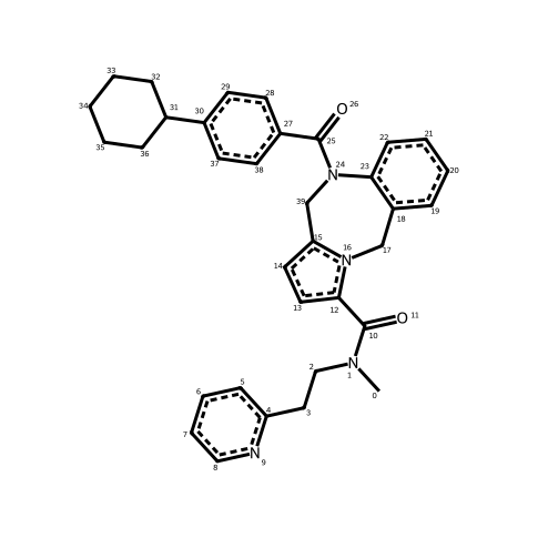 CN(CCc1ccccn1)C(=O)c1ccc2n1Cc1ccccc1N(C(=O)c1ccc(C3CCCCC3)cc1)C2